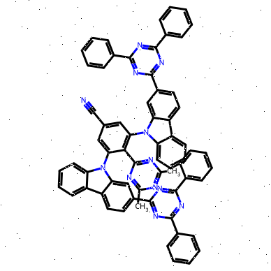 Cc1nc(C)nc(-c2c(-n3c4ccccc4c4ccc(-c5nc(-c6ccccc6)nc(-c6ccccc6)n5)cc43)cc(C#N)cc2-n2c3ccccc3c3ccc(-c4nc(-c5ccccc5)nc(-c5ccccc5)n4)cc32)n1